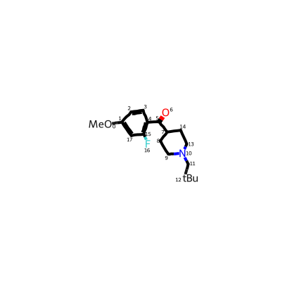 COc1ccc(C(=O)C2CCN(CC(C)(C)C)CC2)c(F)c1